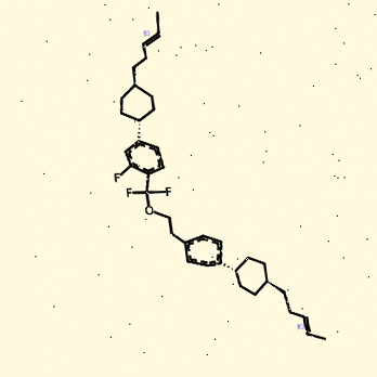 C/C=C/CC[C@H]1CC[C@H](c2ccc(CCOC(F)(F)c3ccc([C@H]4CC[C@H](CC/C=C/C)CC4)cc3F)cc2)CC1